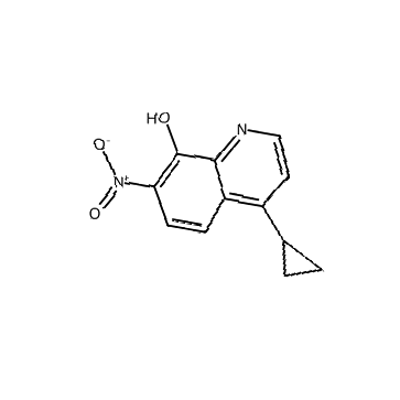 O=[N+]([O-])c1ccc2c(C3CC3)ccnc2c1O